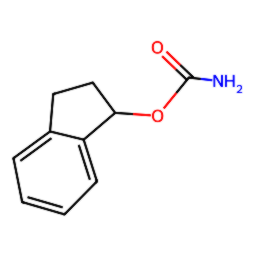 NC(=O)OC1CCc2ccccc21